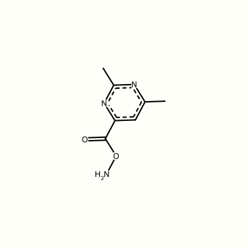 Cc1cc(C(=O)ON)nc(C)n1